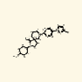 Cc1ccn(-c2cnc(N3CCCC4(CCN(C5CCC(O)CC5)C4=O)C3)nc2)n1